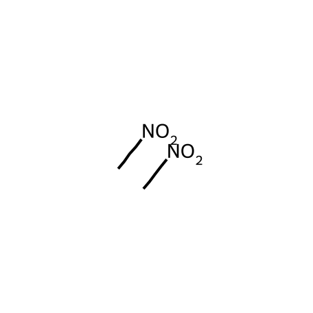 C[N+](=O)[O-].C[N+](=O)[O-]